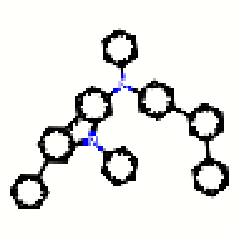 c1ccc(-c2cccc(-c3ccc(N(c4ccccc4)c4ccc5c6ccc(-c7ccccc7)cc6n(-c6ccccc6)c5c4)cc3)c2)cc1